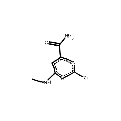 CNc1cc(C(N)=O)nc(Cl)n1